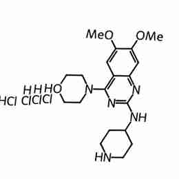 COc1cc2nc(NC3CCNCC3)nc(N3CCOCC3)c2cc1OC.Cl.Cl.Cl.Cl